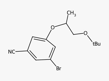 CC(COC(C)(C)C)Oc1cc(Br)cc(C#N)c1